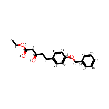 CCOC(=O)CC(=O)CCc1ccc(OCc2ccccc2)cc1